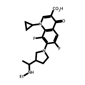 CCNC(C)C1CCN(c2c(F)cc3c(=O)c(C(=O)O)cn(C4CC4)c3c2F)C1